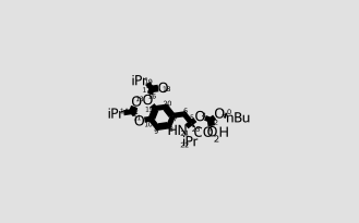 CCCCOC(=O)O[C@](Cc1ccc(OC(=O)C(C)C)c(OC(=O)C(C)C)c1)(NC(C)C)C(=O)O